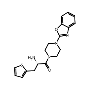 N[C@@H](Cc1cccs1)C(=O)N1CCN(c2nc3ccccc3o2)CC1